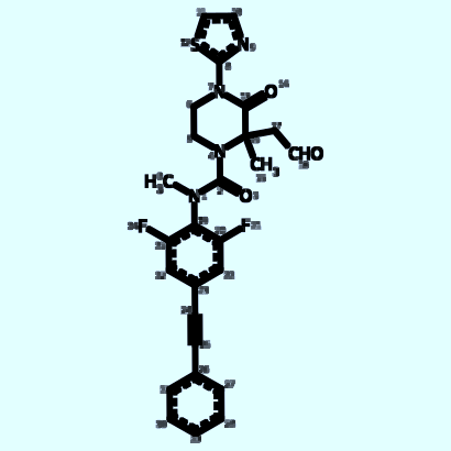 CN(C(=O)N1CCN(c2nccs2)C(=O)C1(C)CC=O)c1c(F)cc(C#Cc2ccccc2)cc1F